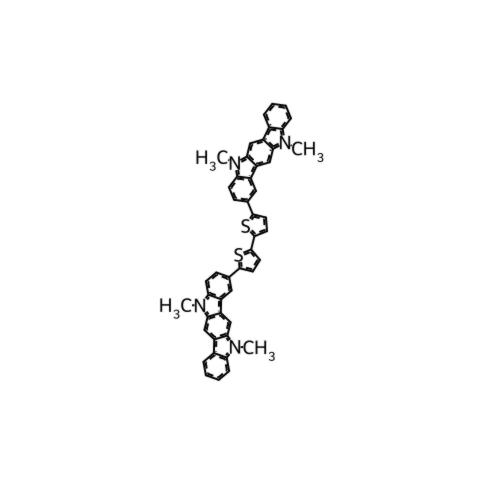 Cn1c2ccccc2c2cc3c(cc21)c1cc(-c2ccc(-c4ccc(-c5ccc6c(c5)c5cc7c(cc5n6C)c5ccccc5n7C)s4)s2)ccc1n3C